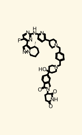 C[C@@H]1CCCCn2ncc(-c3nc(Nc4ccc(C5CCN(Cc6ccc(CN7CCC(O)(c8ccc9c(c8)CN(C8CCC(=O)NC8=O)C9=O)CC7)cc6)CC5)cn4)ncc3F)c21